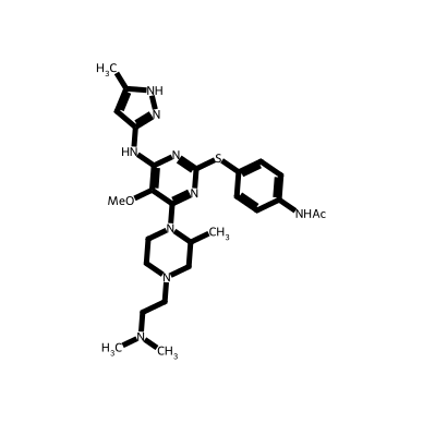 COc1c(Nc2cc(C)[nH]n2)nc(Sc2ccc(NC(C)=O)cc2)nc1N1CCN(CCN(C)C)CC1C